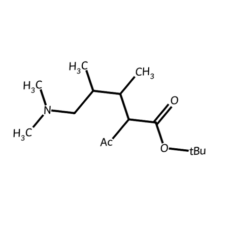 CC(=O)C(C(=O)OC(C)(C)C)C(C)C(C)CN(C)C